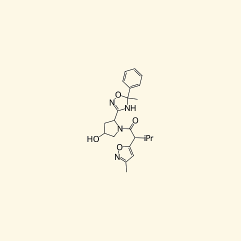 Cc1cc(C(C(=O)N2CC(O)CC2C2=NOC(C)(c3ccccc3)N2)C(C)C)on1